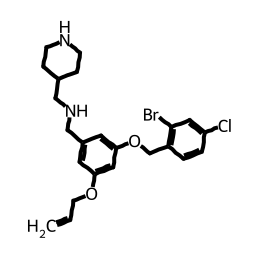 C=CCOc1cc(CNCC2CCNCC2)cc(OCc2ccc(Cl)cc2Br)c1